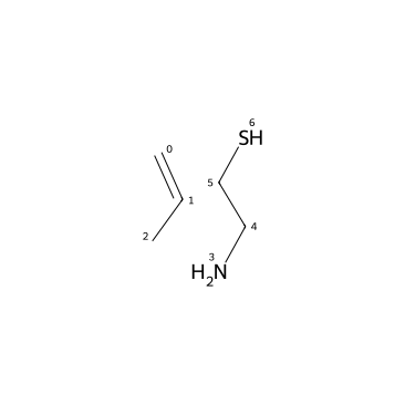 C=CC.NCCS